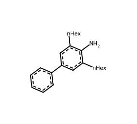 CCCCCCc1cc(-c2ccccc2)cc(CCCCCC)c1N